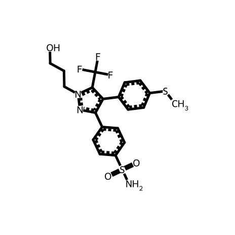 CSc1ccc(-c2c(-c3ccc(S(N)(=O)=O)cc3)nn(CCCO)c2C(F)(F)F)cc1